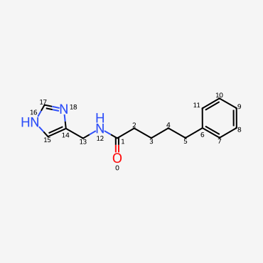 O=C(CCCCc1ccccc1)NCc1c[nH]cn1